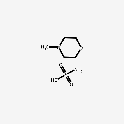 CN1CCOCC1.NS(=O)(=O)O